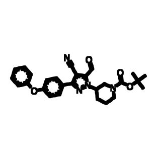 CC(C)(C)OC(=O)N1CCCC(n2nc(-c3ccc(Oc4ccccc4)cc3)c(C#N)c2C=O)C1